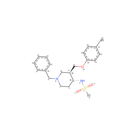 CCS(=O)(=O)N[C@@H]1CCN(Cc2ccccc2)C[C@H]1COc1ccc(C(C)C)cc1